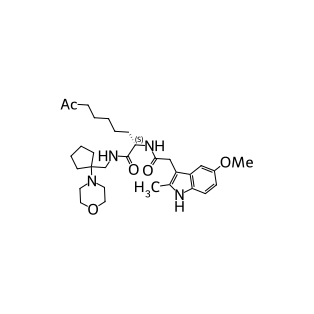 COc1ccc2[nH]c(C)c(CC(=O)N[C@@H](CCCCCC(C)=O)C(=O)NCC3(N4CCOCC4)CCCC3)c2c1